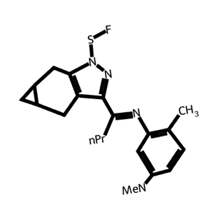 CCC/C(=N\c1cc(NC)ccc1C)c1nn(SF)c2c1CC1CC1C2